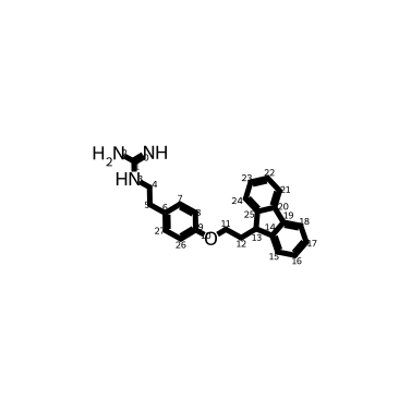 N=C(N)NCCc1ccc(OCCC2c3ccccc3-c3ccccc32)cc1